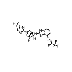 Cc1noc(N2C[C@@H]3CC[C@]4(C2)[C@H]3N4c2nc3c(O/C=C(\F)C(F)(F)F)cccn3n2)n1